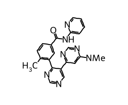 CNc1cc(-c2cncnc2-c2cc(C(=O)Nc3ccccn3)ccc2C)ncn1